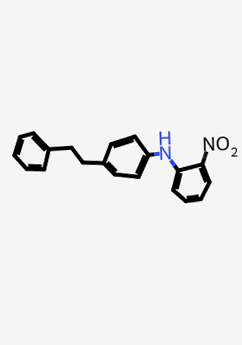 O=[N+]([O-])c1ccccc1Nc1ccc(CCc2ccccc2)cc1